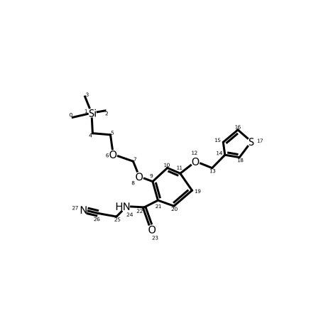 C[Si](C)(C)CCOCOc1cc(OCc2ccsc2)ccc1C(=O)NCC#N